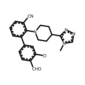 Cn1cnnc1C1CCN(c2c(C#N)cccc2-c2ccc(C=O)c(Cl)c2)CC1